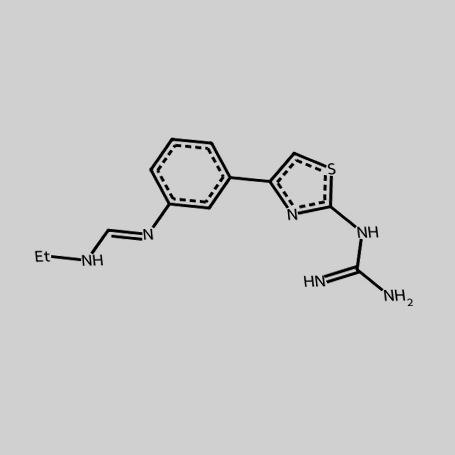 CCN/C=N/c1cccc(-c2csc(NC(=N)N)n2)c1